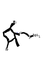 C=C1C(Br)=CC=C(Br)/C1=N/SN